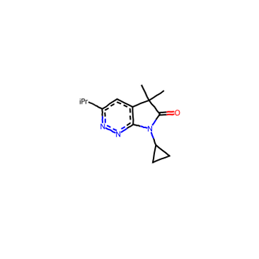 CC(C)c1cc2c(nn1)N(C1CC1)C(=O)C2(C)C